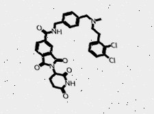 CN(CCc1cccc(Cl)c1Cl)Cc1ccc(CNC(=O)c2ccc3c(c2)C(=O)N(C2CCC(=O)NC2=O)C3=O)cc1